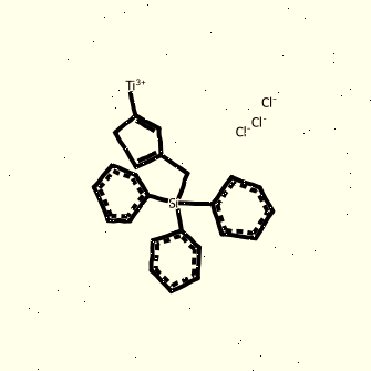 [Cl-].[Cl-].[Cl-].[Ti+3][C]1=CC(C[Si](c2ccccc2)(c2ccccc2)c2ccccc2)=CC1